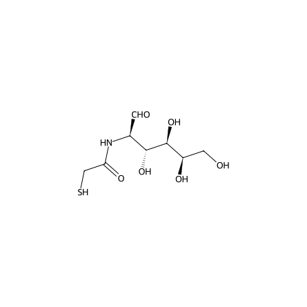 O=C[C@H](NC(=O)CS)[C@@H](O)[C@@H](O)[C@H](O)CO